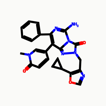 Cn1cc(-c2c(-c3ccccc3)nc(N)n3c(=O)n(Cc4ncoc4C4CC4)nc23)ccc1=O